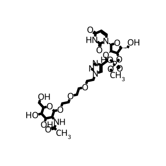 COP(=O)(O)OC1[C@@H](CO)O[C@@H](n2ccc(=O)[nH]c2=O)[C@H]1OCc1cn(CCOCCOCCOC2OC(CO)C(O)C(O)C2NC(C)=O)nn1